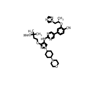 COC(C)(C)CCOc1nn([C@H]2CC[C@H](N3CCOCC3)CC2)cc1Nc1ncc(-c2ccc(C#N)c(O[C@@H](C)Cn3cncn3)c2)cn1